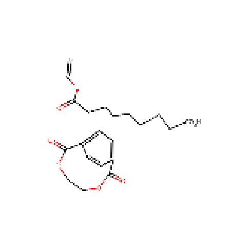 C=COC(=O)CCCCCCCC(=O)O.O=C1OCCOC(=O)c2ccc1cc2